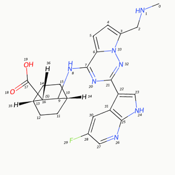 CNCc1ccc2c(NC3[C@H]4CC[C@H](CC4)[C@@H]3C(=O)O)nc(-c3c[nH]c4ncc(F)cc34)nn12